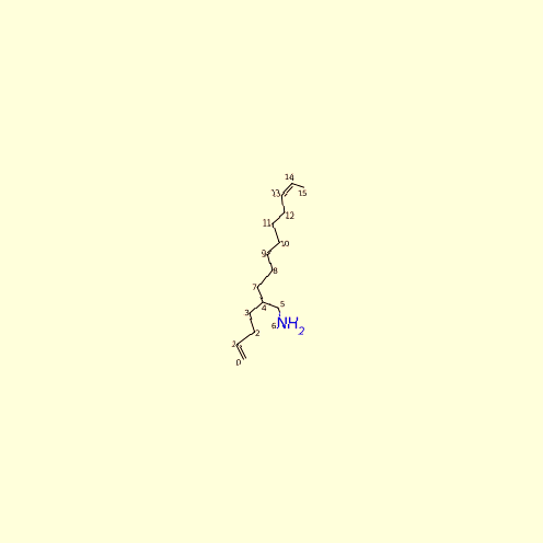 C=CCCC(CN)CCCCCC/C=C\C